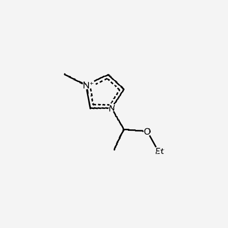 CCOC(C)n1cc[n+](C)c1